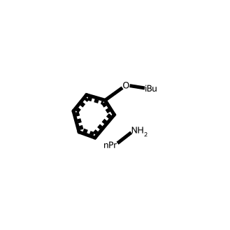 CCC(C)Oc1ccccc1.CCCN